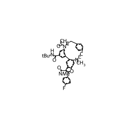 CNC(=O)c1c(-c2ccc(F)cc2)oc2cc3c(cc12)-c1cc(C(=O)NC(C)(C)C)cc(c1)N([S+](C)[O-])CCc1ccc(cc1)CCN3C